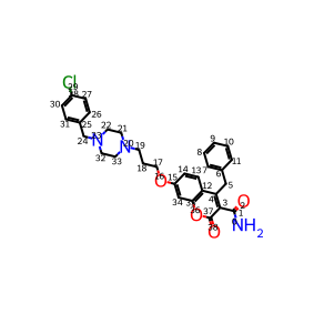 NC(=O)c1c(Cc2ccccc2)c2ccc(OCCCN3CCN(Cc4ccc(Cl)cc4)CC3)cc2oc1=O